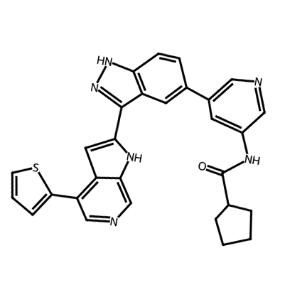 O=C(Nc1cncc(-c2ccc3[nH]nc(-c4cc5c(-c6cccs6)cncc5[nH]4)c3c2)c1)C1CCCC1